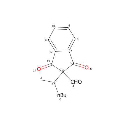 CCCCC(C)C1(C=O)C(=O)c2ccccc2C1=O